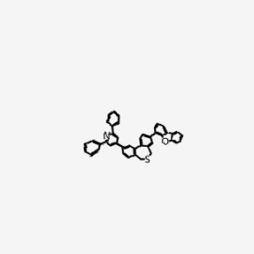 c1ccc(-c2cc(-c3ccc4c(c3)-c3ccc(-c5cccc6c5oc5ccccc56)cc3CSC4)cc(-c3ccccc3)n2)cc1